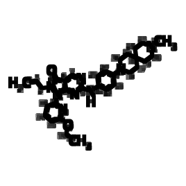 C=CCn1c(=O)c2cnc(Nc3ccc(N4CCC5(CCN(C)CC5)CC4)cc3)nc2n1-c1cccc(OCC)n1